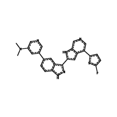 CN(C)c1cncc(-c2ccc3[nH]nc(-c4cc5c(-c6ccc(F)s6)cncc5[nH]4)c3c2)c1